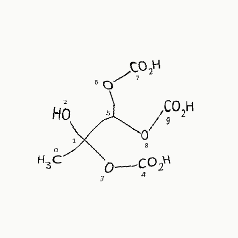 CC(O)(OC(=O)O)C(OC(=O)O)OC(=O)O